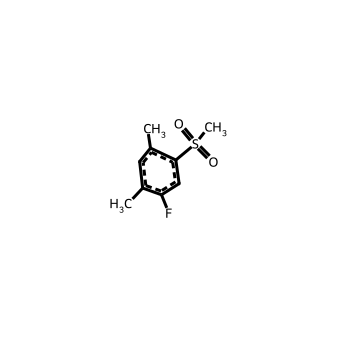 Cc1cc(C)c(S(C)(=O)=O)cc1F